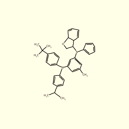 Cc1cc(N(c2ccc(C(C)C)cc2)c2ccc(C(C)(C)C)cc2)cc(N(c2ccccc2)C2COC3C=CC=CC32)c1